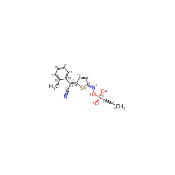 CC#CS(=O)(=O)ON=C1C=C/C(=C(/C#N)c2ccccc2C)S1